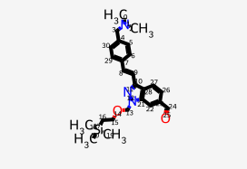 CN(C)Cc1ccc(C=Cc2nn(COCC[Si](C)(C)C)c3cc(C=O)ccc23)cc1